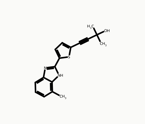 Cc1cccc2nc(-c3ccc(C#CC(C)(C)O)s3)[nH]c12